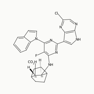 O=C(O)[C@H]1C2CCC(CC2)[C@@H]1Nc1nc(-c2c[nH]c3ncc(Cl)nc23)nc(-n2ccc3ccccc32)c1F